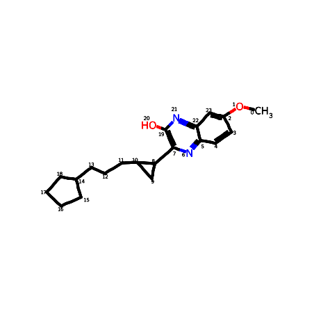 COc1ccc2nc(C3CC3CCCC3CCCC3)c(O)nc2c1